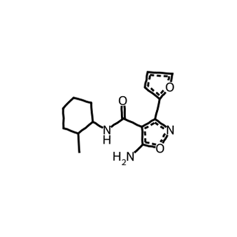 CC1CCCCC1NC(=O)c1c(-c2ccco2)noc1N